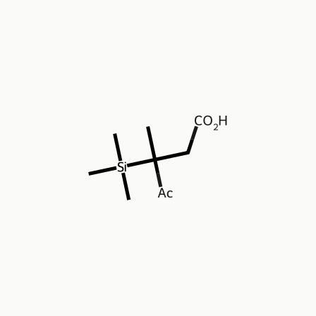 CC(=O)C(C)(CC(=O)O)[Si](C)(C)C